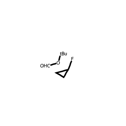 CC(C)(C)OC=O.FC1CC1